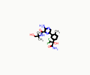 Cc1ccc(C(O)(C(N)=O)C(F)F)cc1-c1cnc(N)c(C(=O)NC(C)(C)CO)n1